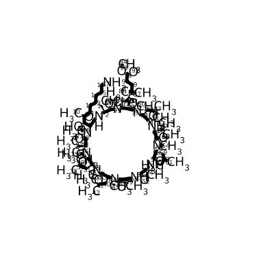 CC[C@@H]1NC(=O)[C@H]([C@H](O)[C@H](C)CCCCCCN)N(C)C(=O)[C@H](C(C)C)N(C)C(=O)[C@H](CC(C)C)N(C)C(=O)[C@H](CC(C)C)N(C)C(=O)[C@H](C)NC(=O)[C@@H](C)NC(=O)[C@@H](CC(C)C)N(C)C(=O)[C@@H](C(C)C)NC(=O)[C@H](CC(C)C)N(C)C(=O)[C@@H](CSC(C)(C)CCC(=O)OC)N(C)C1=O